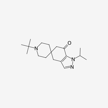 CC(C)n1ncc2c1C(=O)CC1(CCN(C(C)(C)C)CC1)C2